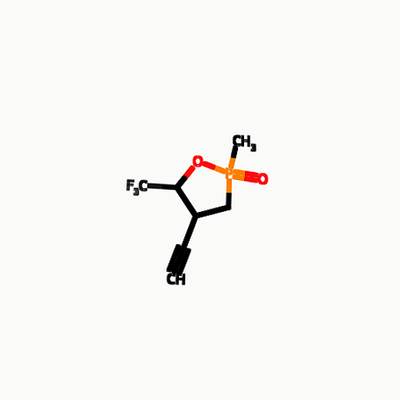 C#CC1CP(C)(=O)OC1C(F)(F)F